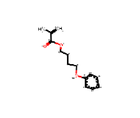 C=C(C)C(=O)OCCCCOc1cc[c]cc1